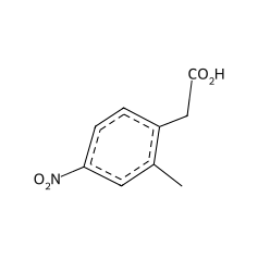 Cc1cc([N+](=O)[O-])ccc1CC(=O)O